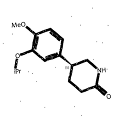 COc1ccc([C@@H]2CCC(=O)NC2)cc1OC(C)C